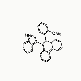 COc1ccc[c]c1N1C(c2c[nH]c3ccccc23)=c2ccccc2=C2C=CC=CC21